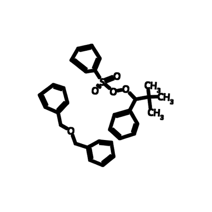 CC(C)(C)C(OOS(=O)(=O)c1ccccc1)c1ccccc1.c1ccc(COCc2ccccc2)cc1